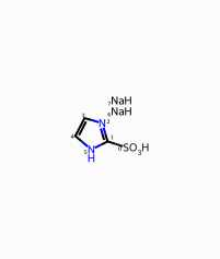 O=S(=O)(O)c1ncc[nH]1.[NaH].[NaH]